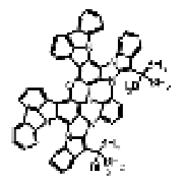 BC(B)(B)c1c2ccccc2n2c3c4c5c(c6c7cccc8c9ccccc9n(c87)c63)Oc3c6c7c(c8c3c3cccc9c%10ccccc%10n8c93)n3c8ccccc8c(C(B)(B)B)c3n7-c3cccc(c3B56)-n4c12